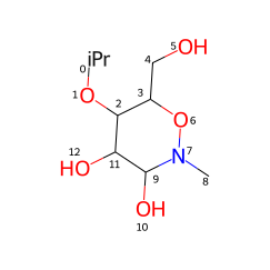 CC(C)OC1C(CO)ON(C)C(O)C1O